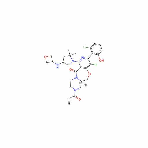 C=CC(=O)N1CCN2C(=O)c3c(N4CC(NC5COC5)CC4(C)C)nc(-c4c(O)cccc4F)c(F)c3OC[C@H]2C1